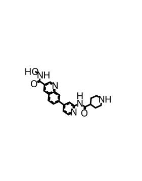 O=C(NO)c1cnc2cc(-c3ccnc(NC(=O)C4CCNCC4)c3)ccc2c1